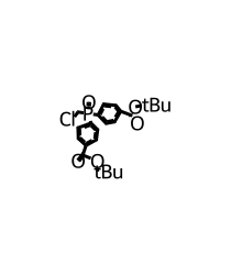 CC(C)(C)OC(=O)c1ccc(P(=O)(CCl)c2ccc(C(=O)OC(C)(C)C)cc2)cc1